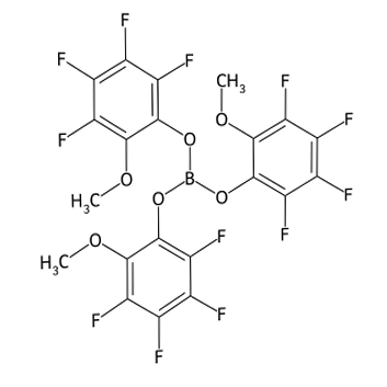 COc1c(F)c(F)c(F)c(F)c1OB(Oc1c(F)c(F)c(F)c(F)c1OC)Oc1c(F)c(F)c(F)c(F)c1OC